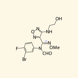 CO/N=C(/c1nonc1NCCO)N(C=O)c1ccc(F)c(Br)c1